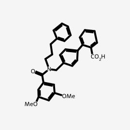 COc1cc(OC)cc(C(=O)N(CCCc2ccccc2)Cc2ccc(-c3ccccc3C(=O)O)cc2)c1